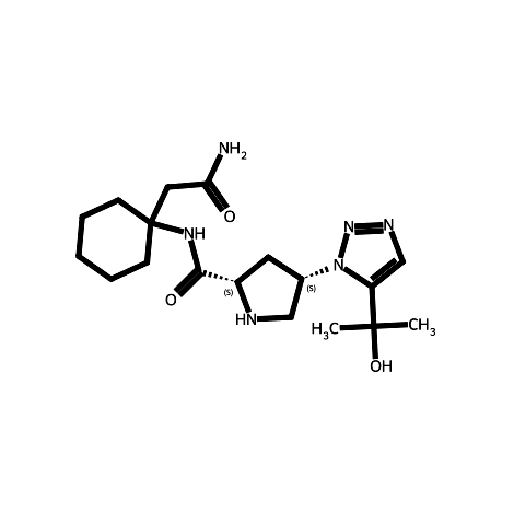 CC(C)(O)c1cnnn1[C@@H]1CN[C@H](C(=O)NC2(CC(N)=O)CCCCC2)C1